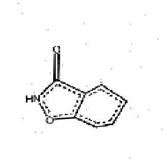 O=c1[nH]oc2ccc[c]c12